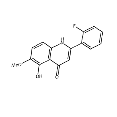 COc1ccc2[nH]c(-c3ccccc3F)cc(=O)c2c1O